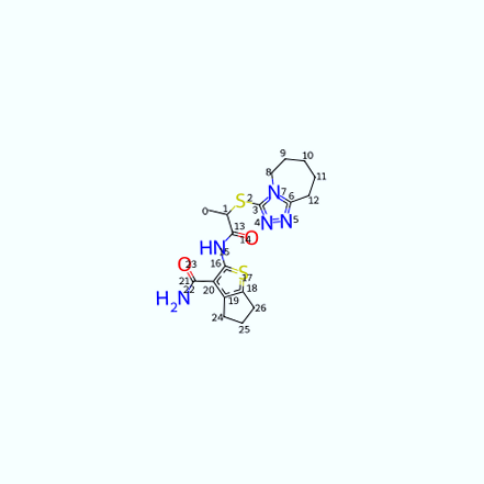 CC(Sc1nnc2n1CCCCC2)C(=O)Nc1sc2c(c1C(N)=O)CCC2